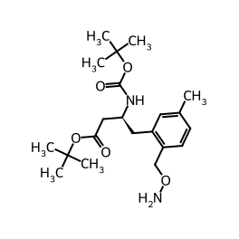 Cc1ccc(CON)c(C[C@@H](CC(=O)OC(C)(C)C)NC(=O)OC(C)(C)C)c1